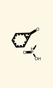 C[PH](=O)O.O=c1c2ccccc12